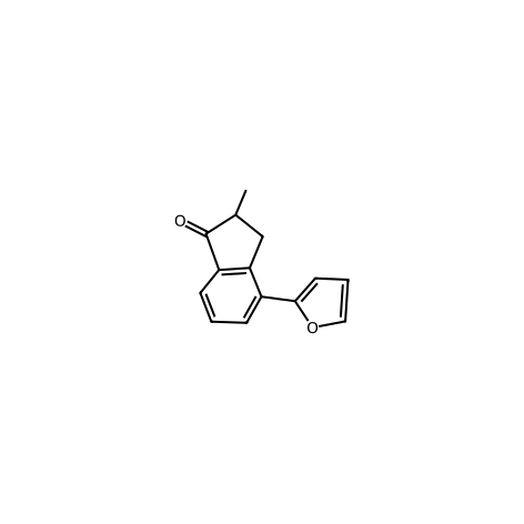 CC1Cc2c(cccc2-c2ccco2)C1=O